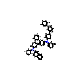 C1=CC2c3cc4ccccc4cc3N(c3cccc(-c4ccc(N(c5ccccc5)c5ccc(-c6cccc(-c7ccccc7)c6)cc5)cc4-c4ccccc4)c3)C2C=C1